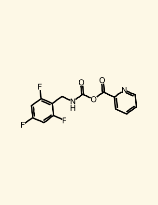 O=C(NCc1c(F)cc(F)cc1F)OC(=O)c1ccccn1